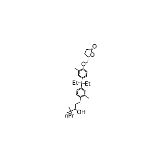 CCCC(C)(C)C(O)CCc1ccc(C(CC)(CC)c2ccc(OC[C@@H]3CCC(=O)O3)c(C)c2)cc1C